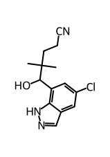 CC(C)(CCC#N)C(O)c1cc(Cl)cc2cn[nH]c12